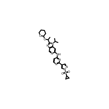 CC(OC1CCCCO1)c1nc2cnc(Nc3ccnc(-c4cnn(S(=O)(=O)C5CC5)c4)n3)cc2n1C(C)C